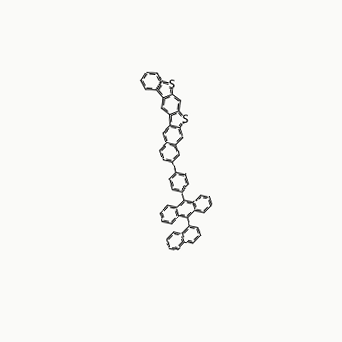 c1ccc2c(-c3c4ccccc4c(-c4ccc(-c5ccc6cc7c(cc6c5)sc5cc6sc8ccccc8c6cc57)cc4)c4ccccc34)cccc2c1